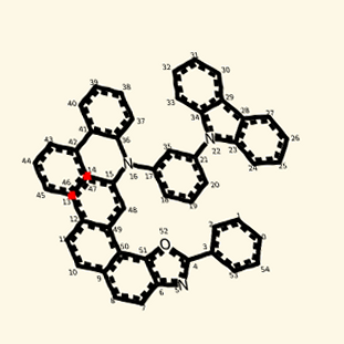 c1ccc(-c2nc3ccc4ccc5ccc(N(c6cccc(-n7c8ccccc8c8ccccc87)c6)c6ccccc6-c6ccccc6)cc5c4c3o2)cc1